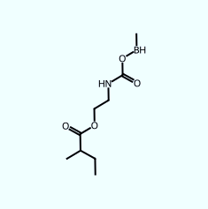 CBOC(=O)NCCOC(=O)C(C)CC